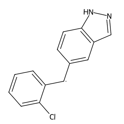 Clc1ccccc1[CH]c1ccc2[nH]ncc2c1